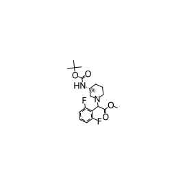 COC(=O)C(c1c(F)cccc1F)N1CCC[C@@H](NC(=O)OC(C)(C)C)C1